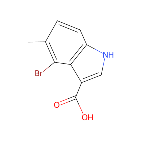 Cc1ccc2[nH]cc(C(=O)O)c2c1Br